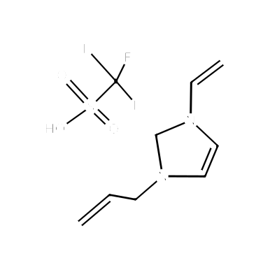 C=CCN1C=CN(C=C)C1.O=S(=O)(O)C(F)(F)F